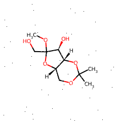 COC1(CO)O[C@H]2COC(C)(C)O[C@H]2[C@@H]1O